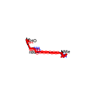 C#C[C@@H]1C(=C(C)C)C([C@@H]2C=NC(C)C(/C=C\C)C2)=NN1Cc1ccc(CNC)c(CCCCOCCOCCOCCOCCOCCOCCOCCOCCOCCOCCNC(=O)CCC(CCCC)CCC(O)C[C@H](N)C(C)/C=C(\C)C(O)CC(=O)C(C)CC/C=C/C=C/C=C(\C)[C@H]2C[C@@](CC[C@@H](C)C(C)=O)(O[C@@H](O)C=O)C2)c1